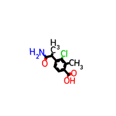 Cc1c(C(=O)O)ccc(C(C)C(N)=O)c1Cl